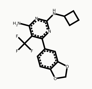 Nc1nc(NC2CCC2)nc(-c2ccc3c(c2)OCO3)c1C(F)(F)F